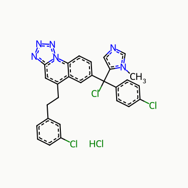 Cl.Cn1cncc1C(Cl)(c1ccc(Cl)cc1)c1ccc2c(c1)c(CCc1cccc(Cl)c1)cc1nnnn12